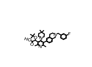 Cc1nc(C)c(C(OC(C)(C)C)C(=O)O)c(N2CCC(C)(C)CC2)c1-c1ccc2c(c1)CCN(Cc1cccc(F)c1)C2